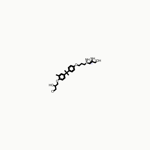 Cc1cc(C(C)(C)c2ccc(OCCCN(N)/C=C(\N)CO)cc2)ccc1OCC(O)CCl